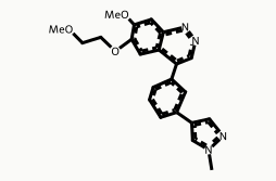 COCCOc1cc2c(-c3cccc(-c4cnn(C)c4)c3)cnnc2cc1OC